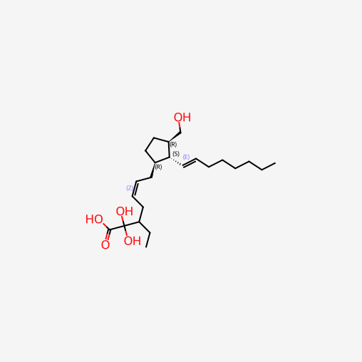 CCCCCC/C=C/[C@H]1[C@H](CO)CC[C@@H]1C/C=C\CC(CC)C(O)(O)C(=O)O